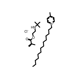 C=C(C)C(=O)OCCNC(C)(C)C.CCCCCCCCCCCCCC[n+]1ccc(C)cc1.[Cl-]